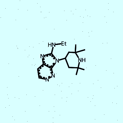 CCNc1nc2ccnnc2n1C1CC(C)(C)NC(C)(C)C1